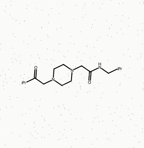 CC(C)CNC(=O)CN1CCN(CC(=O)C(C)C)CC1